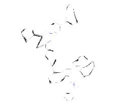 c1ccc(-c2ccc(-c3nc(-c4ccccc4)cc(-c4ccc(-c5cccc6c5cc(-c5ccccc5)c5c(-c7ccccc7)nn(-c7ccccc7)c56)cc4)n3)cc2)cc1